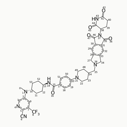 CN(c1cnc(C#N)c(C(F)(F)F)c1)[C@H]1CC[C@H](NC(=O)c2ccc(N3CCC(CN4Cc5cc6c(cc5C4)C(=O)N(C4CCC(=O)NC4=O)C6=O)CC3)cc2)CC1